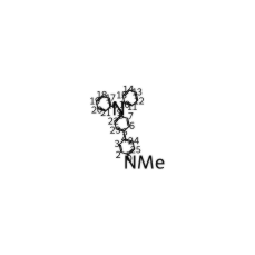 CNc1ccc(-c2ccc(N(c3ccccc3)c3ccccc3)cc2)cc1